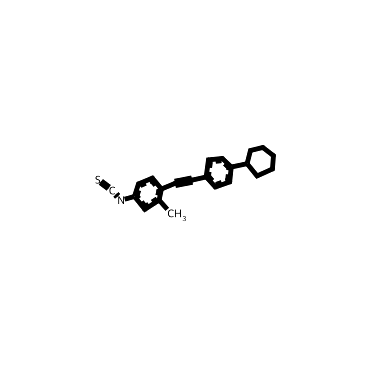 Cc1cc(N=C=S)ccc1C#Cc1ccc(C2CCCCC2)cc1